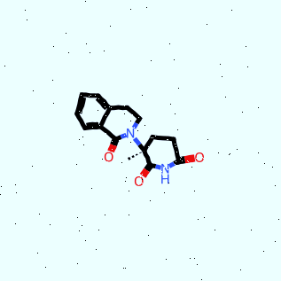 C[C@]1(N2CCc3ccccc3C2=O)CCC(=O)NC1=O